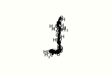 CCc1c2c(nc3ccc(O)cc13)-c1cc3c(c(=O)n1C2)COC(=O)C3OC(=O)OCc1ccc(NC(=O)CNC(=O)COCC(=O)NC(C)(C)COC(C)(C)Cn2cc(CNC=O)nn2)cc1